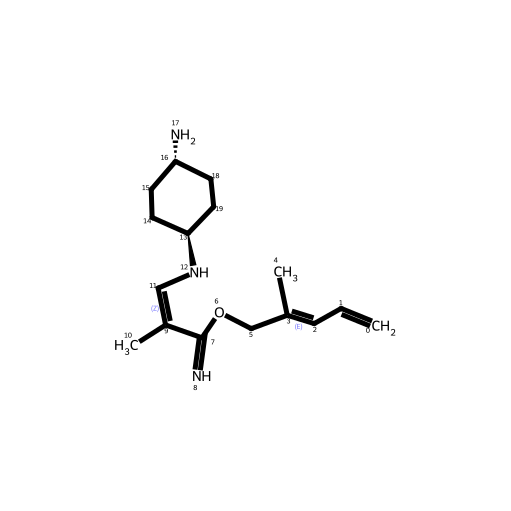 C=C/C=C(\C)COC(=N)/C(C)=C\N[C@H]1CC[C@H](N)CC1